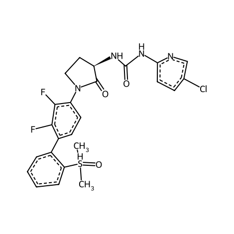 C[SH](C)(=O)c1ccccc1-c1ccc(N2CC[C@@H](NC(=O)Nc3ccc(Cl)cn3)C2=O)c(F)c1F